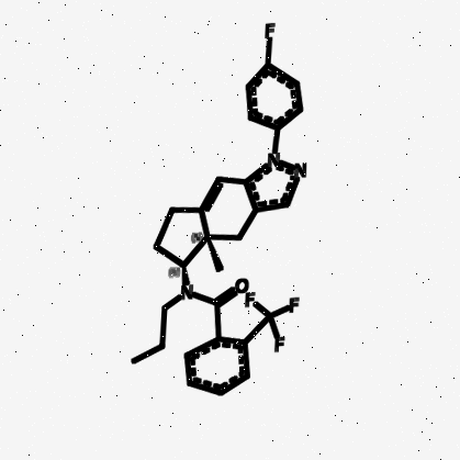 CCCN(C(=O)c1ccccc1C(F)(F)F)[C@H]1CCC2=Cc3c(cnn3-c3ccc(F)cc3)C[C@@]21C